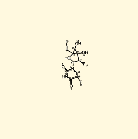 O=c1[nH]c(=O)n([C@@H]2O[C@]3(CF)C(O)[C@]3(O)[C@H]2F)cc1F